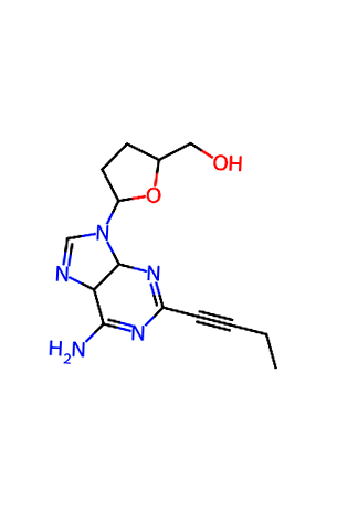 CCC#CC1=NC2C(N=CN2C2CCC(CO)O2)C(N)=N1